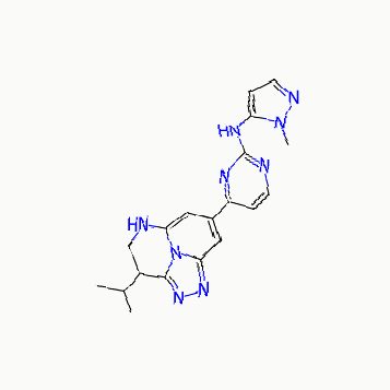 CC(C)C1CNc2cc(-c3ccnc(Nc4ccnn4C)n3)cc3nnc1n23